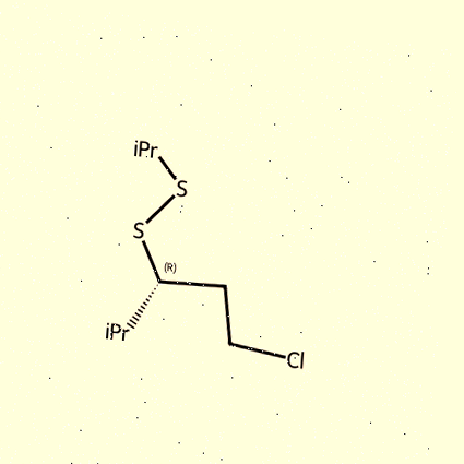 CC(C)SS[C@H](CCCl)C(C)C